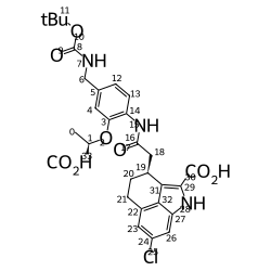 C[C@@H](Oc1cc(CNC(=O)OC(C)(C)C)ccc1NC(=O)C[C@@H]1CCc2cc(Cl)cc3[nH]c(C(=O)O)c1c23)C(=O)O